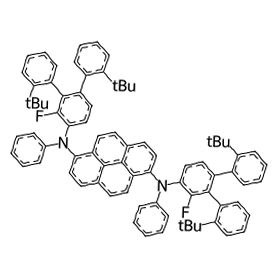 CC(C)(C)c1ccccc1-c1ccc(N(c2ccccc2)c2ccc3ccc4c(N(c5ccccc5)c5ccc(-c6ccccc6C(C)(C)C)c(-c6ccccc6C(C)(C)C)c5F)ccc5ccc2c3c54)c(F)c1-c1ccccc1C(C)(C)C